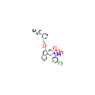 Cc1cccc(CCOCC2=Cc3ccccc3C23CCC(Nc2cccc(Cl)c2)(C(=O)O)CC3)c1